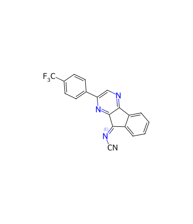 N#C/N=C1\c2ccccc2-c2ncc(-c3ccc(C(F)(F)F)cc3)nc21